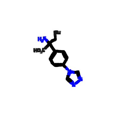 CC(C)(C)CC(N)(C(=O)O)c1ccc(-n2cnnc2)cc1